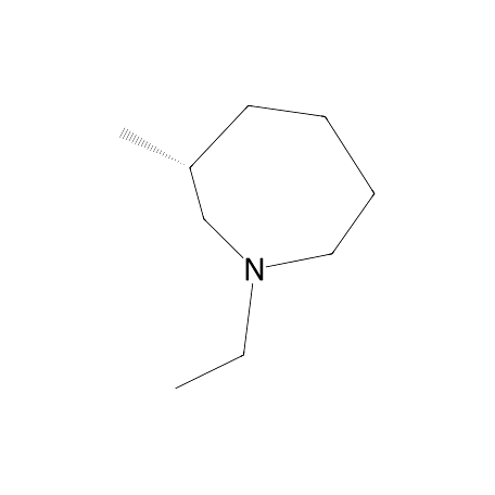 CCN1CCCC[C@@H](C)C1